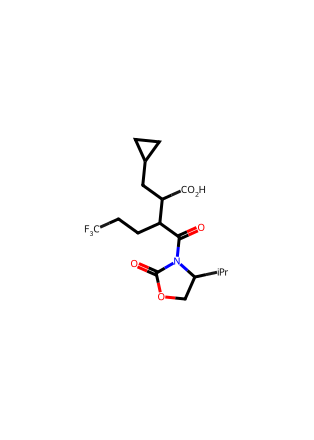 CC(C)C1COC(=O)N1C(=O)C(CCC(F)(F)F)C(CC1CC1)C(=O)O